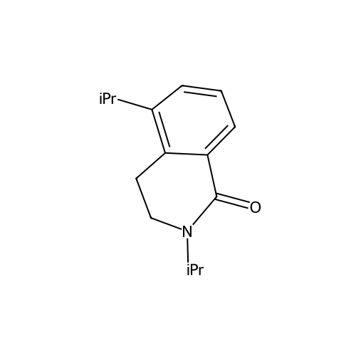 CC(C)c1cccc2c1CCN(C(C)C)C2=O